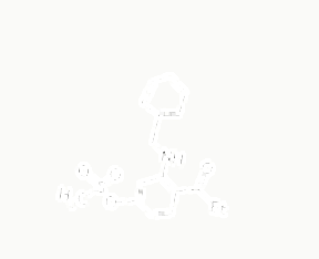 CCC(=O)c1ccc(OS(C)(=O)=O)cc1NCc1ccccc1